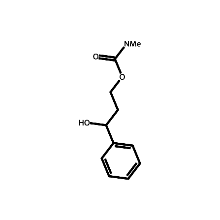 CNC(=O)OCCC(O)c1ccccc1